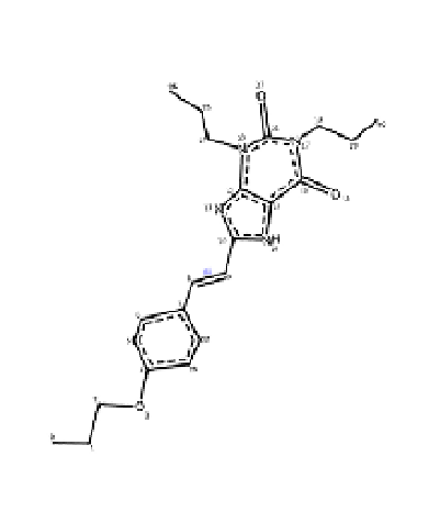 CCCOc1ccc(/C=C/c2nc3c([nH]2)c(=O)n(CCC)c(=O)n3CCC)cc1